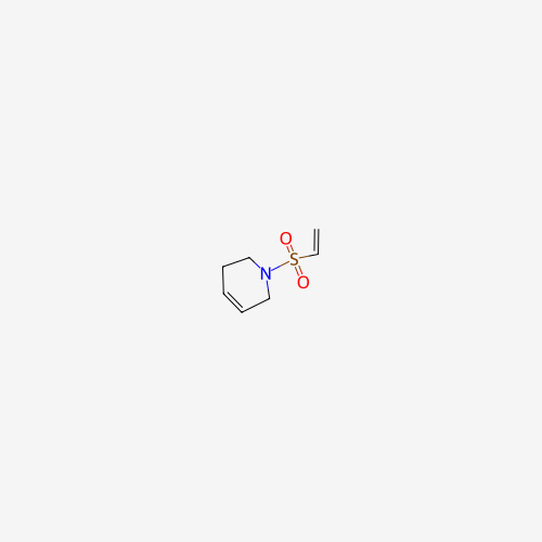 C=CS(=O)(=O)N1CC=CCC1